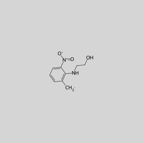 [CH2]c1cccc([N+](=O)[O-])c1NCCO